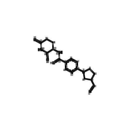 O=CC1CCN(c2ccc(C(=O)NC3CCC(=O)NC3=O)cn2)C1